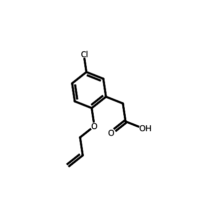 C=CCOc1ccc(Cl)cc1CC(=O)O